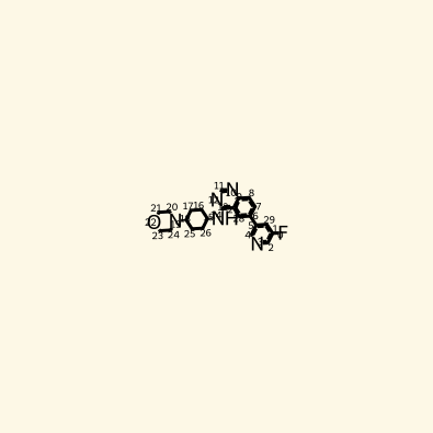 Fc1cncc(-c2ccc3ncnc(N[C@H]4CC[C@H](N5CCOCC5)CC4)c3c2)c1